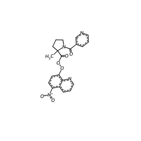 CC1(C(=O)OOc2ccc([N+](=O)[O-])c3cccnc23)CCCN1C(=O)c1cccnc1